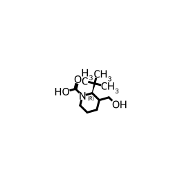 CC(C)(C)[C@H]1C(CO)CCCN1C(=O)O